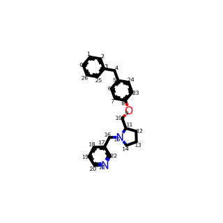 c1ccc(Cc2ccc(OCC3CCCN3Cc3cccnc3)cc2)cc1